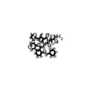 Cc1c(-c2ncco2)sc2c1c(=O)n(C(C)(C)C(N)=O)c(=O)n2C[C@H](OC1CCOCC1)c1ccccc1OCc1ccccc1